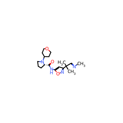 C/N=C/C(C)(C)c1cc(NC(=O)[C@@H]2CCCN2C2CCOCC2)on1